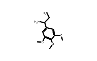 COc1cc(C(N)CN)cc(OC)c1OC